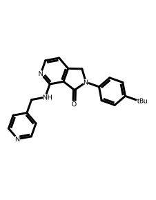 CC(C)(C)c1ccc(N2Cc3ccnc(NCc4ccncc4)c3C2=O)cc1